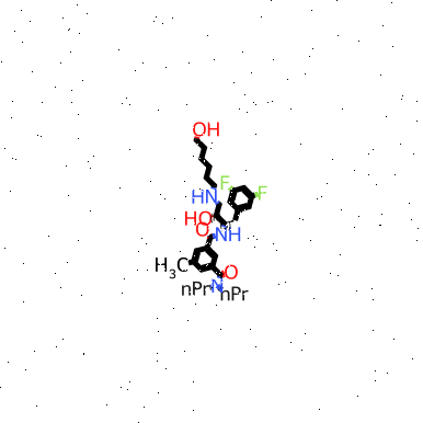 CCCN(CCC)C(=O)c1cc(C)cc(C(=O)N[C@@H](Cc2cc(F)cc(F)c2)[C@H](O)CNCCCCCCO)c1